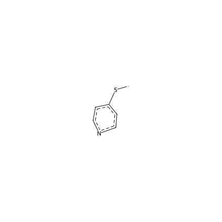 [CH2]Sc1ccncc1